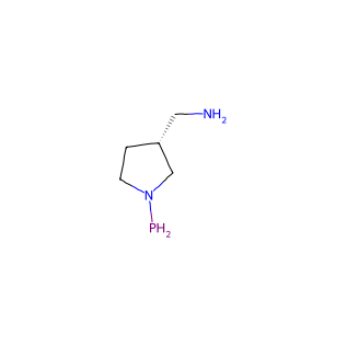 NC[C@H]1CCN(P)C1